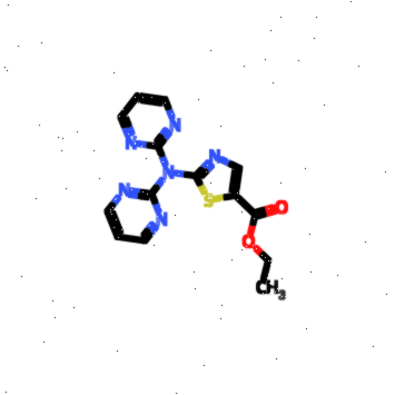 CCOC(=O)c1cnc(N(c2ncccn2)c2ncccn2)s1